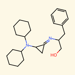 OCC(Cc1ccccc1)/N=C1\CC1N(C1CCCCC1)C1CCCCC1